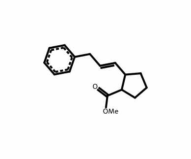 COC(=O)C1CCCC1/C=C/Cc1ccccc1